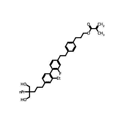 C=C(C)C(=O)OCCCc1ccc(CCc2ccc(-c3ccc(CCCC(CO)(CO)CCC)cc3CC)c(F)c2)cc1